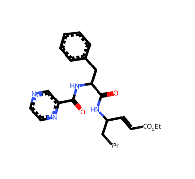 CCOC(=O)/C=C/C(CC(C)C)NC(=O)C(Cc1ccccc1)NC(=O)c1cnccn1